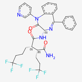 NC(=O)[C@H](CCC(F)(F)F)[C@H](CCCC(F)(F)F)C(=O)N[C@H]1N=C(c2ccccc2)c2ccccc2N(c2cccnc2)C1=O